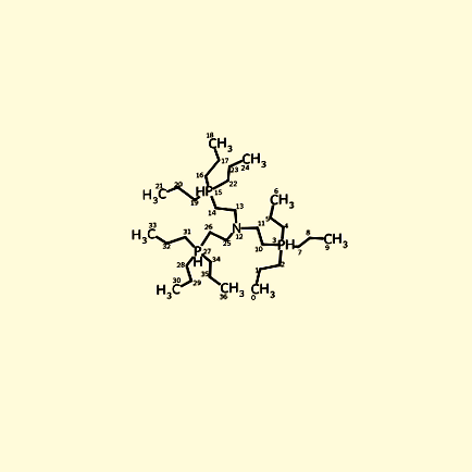 CCC[PH](CCC)(CCC)CCN(CC[PH](CCC)(CCC)CCC)CC[PH](CCC)(CCC)CCC